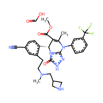 COC(=O)C1=C(C)N(c2cccc(C(F)(F)F)c2)c2n[nH]c(=O)n2[C@@H]1c1ccc(C#N)cc1CCN(C)CC1CNC1.O=CO